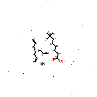 C=C[CH2][Nd]([CH2]C=C)[CH2]C=C.CC(C)(C)CCCCCC(=O)O.[Nd]